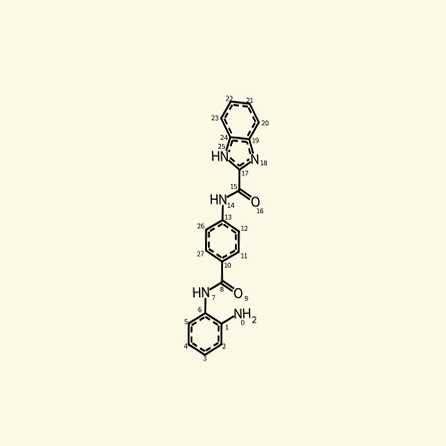 Nc1ccccc1NC(=O)c1ccc(NC(=O)c2nc3ccccc3[nH]2)cc1